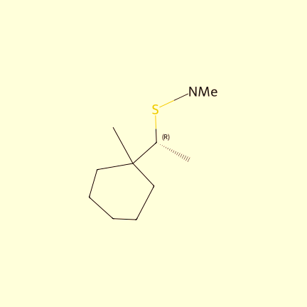 CNS[C@H](C)C1(C)CCCCC1